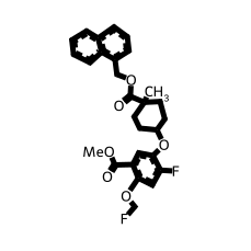 COC(=O)c1cc(OC2CCC(C)(C(=O)OCc3cccc4ccccc34)CC2)c(F)cc1OCF